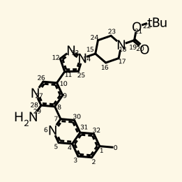 Cc1ccc2cnc(-c3cc(-c4cnn(C5CCN(C(=O)OC(C)(C)C)CC5)c4)cnc3N)cc2c1